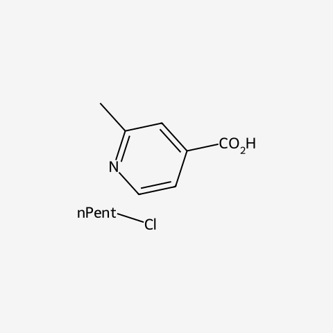 CCCCCCl.Cc1cc(C(=O)O)ccn1